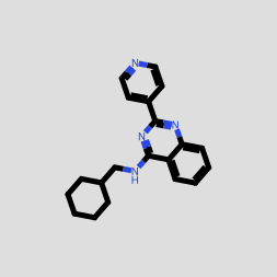 c1ccc2c(NCC3CCCCC3)nc(-c3ccncc3)nc2c1